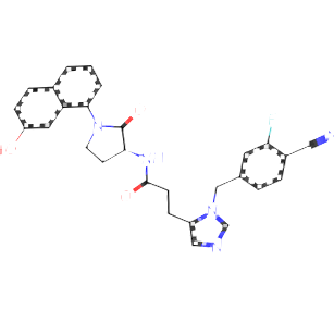 N#Cc1ccc(Cn2cncc2CCC(=O)N[C@H]2CCN(c3cccc4ccc(O)cc34)C2=O)cc1F